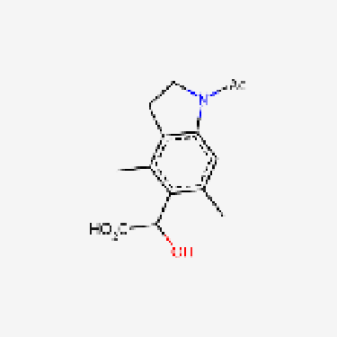 CC(=O)N1CCc2c1cc(C)c(C(O)C(=O)O)c2C